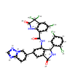 O=C(Nc1cc(-c2ccc3ncnn3c2)cc2c1C(c1cc(F)ccc1Cl)NC2=O)c1cc(F)cc2c1NC(=O)C2(F)F